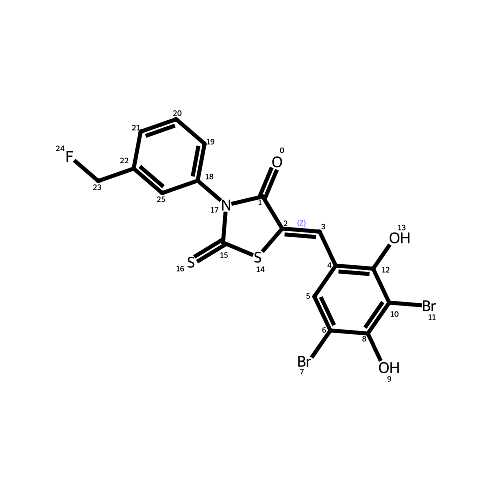 O=C1/C(=C/c2cc(Br)c(O)c(Br)c2O)SC(=S)N1c1cccc(CF)c1